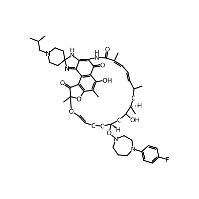 C/C1=C/C=C/C(C)C[C@@H](C)C(O)C[C@H](ON2CCCN(c3ccc(F)cc3)CC2)CC/C=C/OC2(C)Oc3c(C)c(O)c4c(c3C2=O)C2=NC3(CCN(CC(C)C)CC3)NC2=C(NC1=O)C4=O